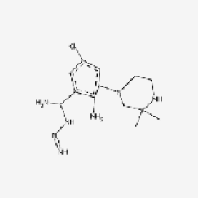 CC1(C)CN(c2cc(Cl)cc(C(N)NN=N)c2N)CCN1